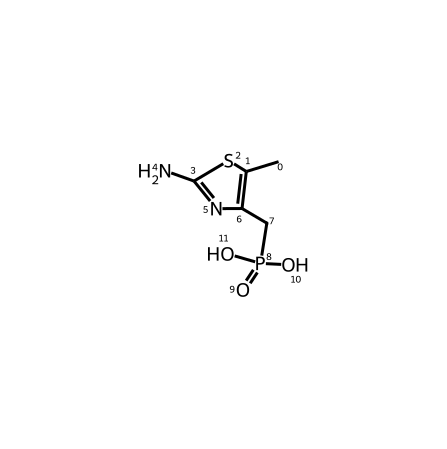 Cc1sc(N)nc1CP(=O)(O)O